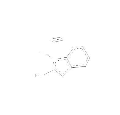 CCCCCCCc1cc2ccccc2[s+]1C(F)(F)F.[C-]#N